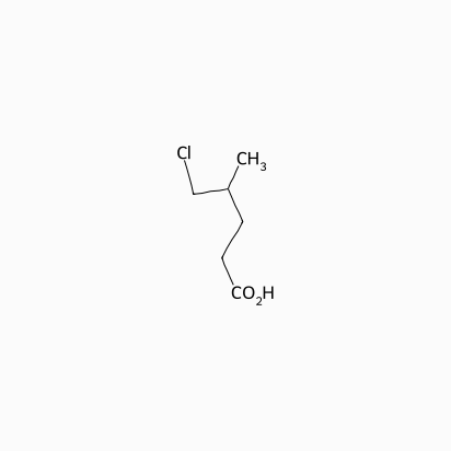 CC(CCl)CCC(=O)O